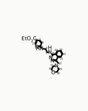 CCOC(=O)c1ccc(NCCNc2nnc(CN3CCOCC3)c3ccccc23)nc1